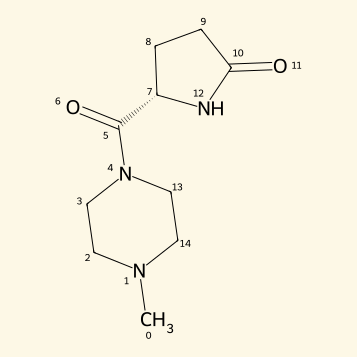 CN1CCN(C(=O)[C@@H]2CCC(=O)N2)CC1